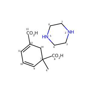 C1CNCCN1.CC1(C(=O)O)C=CC=C(C(=O)O)C1